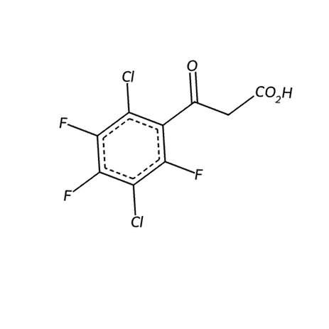 O=C(O)CC(=O)c1c(F)c(Cl)c(F)c(F)c1Cl